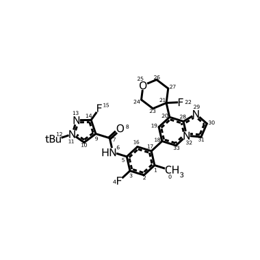 Cc1cc(F)c(NC(=O)c2cn(C(C)(C)C)nc2F)cc1-c1cc(C2(F)CCOCC2)c2nccn2c1